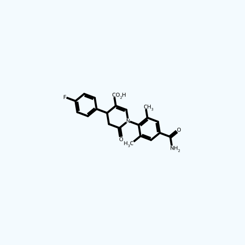 Cc1cc(C(N)=O)cc(C)c1N1C=C(C(=O)O)C(c2ccc(F)cc2)CC1=O